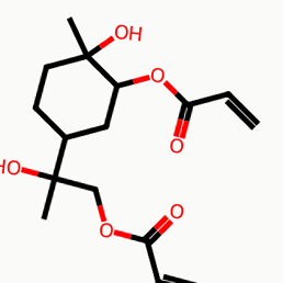 C=CC(=O)OCC(C)(O)C1CCC(C)(O)C(OC(=O)C=C)C1